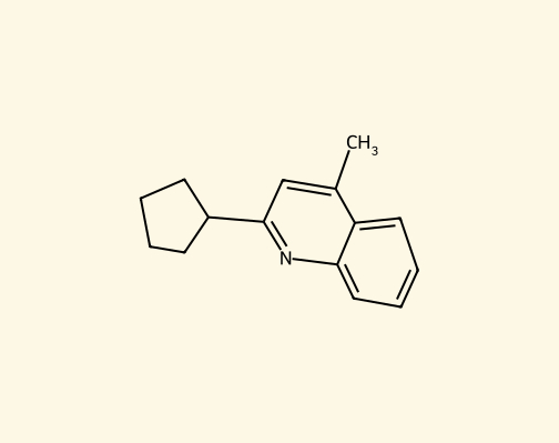 Cc1cc(C2CCCC2)nc2ccccc12